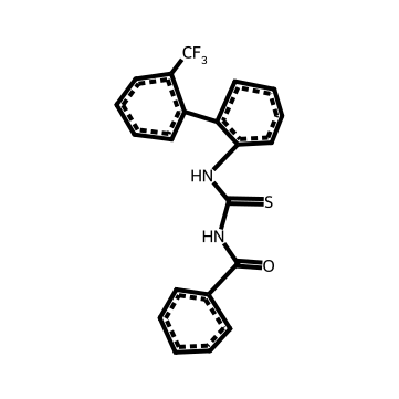 O=C(NC(=S)Nc1ccccc1-c1ccccc1C(F)(F)F)c1ccccc1